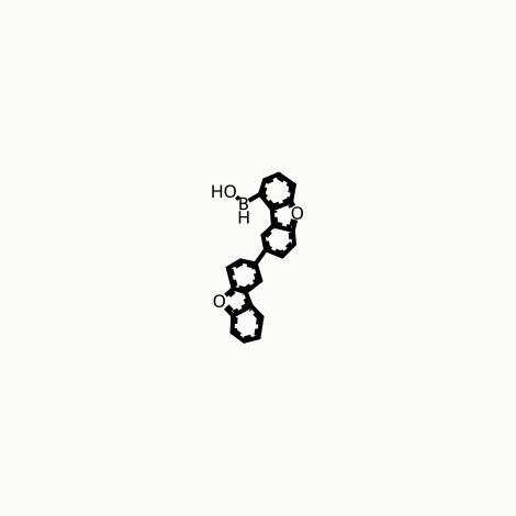 OBc1cccc2oc3ccc(-c4ccc5oc6ccccc6c5c4)cc3c12